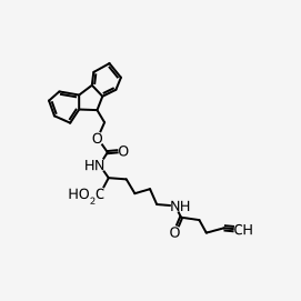 C#CCCC(=O)NCCCCC(NC(=O)OCC1c2ccccc2-c2ccccc21)C(=O)O